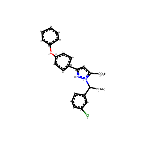 CC(=O)NC(c1cccc(Cl)c1)n1nc(-c2ccc(Oc3ccccc3)cc2)cc1C(=O)O